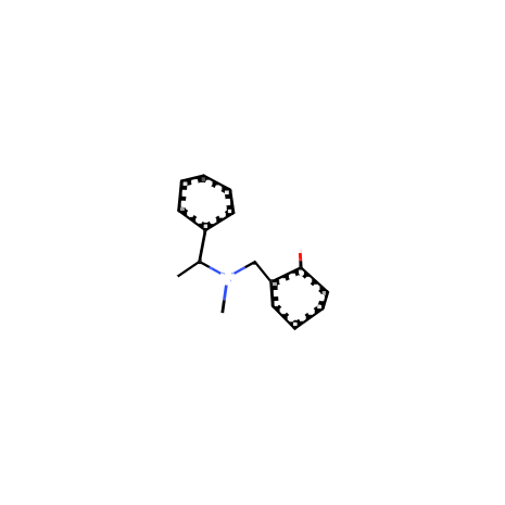 CC(c1ccccc1)N(C)Cc1ccccc1O